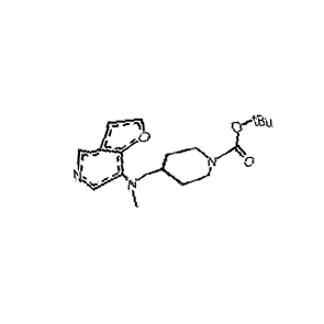 CN(c1cncc2ccoc12)C1CCN(C(=O)OC(C)(C)C)CC1